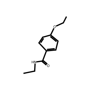 CCNC(=O)c1ccc(OCC)cc1